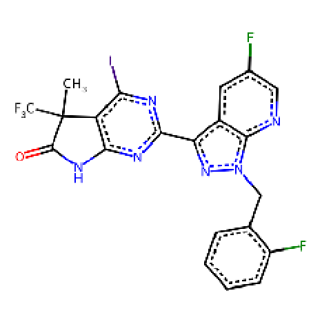 CC1(C(F)(F)F)C(=O)Nc2nc(-c3nn(Cc4ccccc4F)c4ncc(F)cc34)nc(I)c21